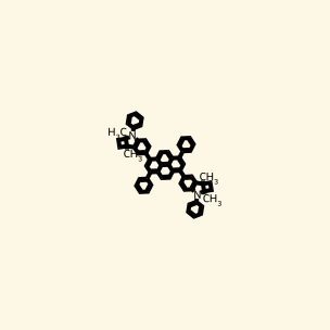 CC12CCC1(C)N(c1ccccc1)c1ccc(-c3cc(-c4ccccc4)c4ccc5c(-c6ccc7c(c6)C6(C)CCC6(C)N7c6ccccc6)cc(-c6ccccc6)c6ccc3c4c65)cc12